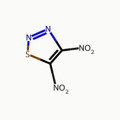 O=[N+]([O-])c1nnsc1[N+](=O)[O-]